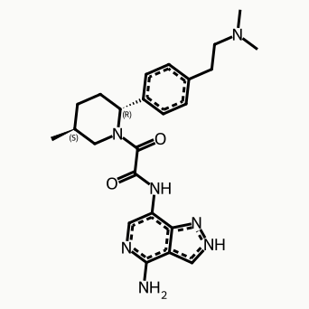 C[C@H]1CC[C@H](c2ccc(CCN(C)C)cc2)N(C(=O)C(=O)Nc2cnc(N)c3c[nH]nc23)C1